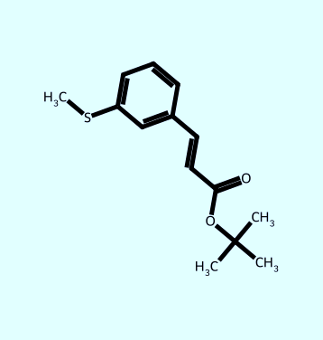 CSc1cccc(C=CC(=O)OC(C)(C)C)c1